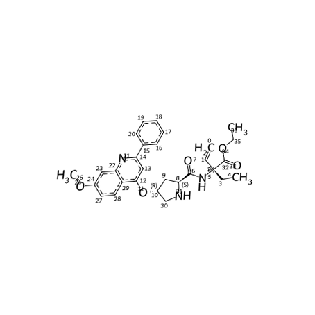 C=C[C@@](CC)(NC(=O)[C@@H]1C[C@@H](Oc2cc(-c3ccccc3)nc3cc(OC)ccc23)CN1)C(=O)OCC